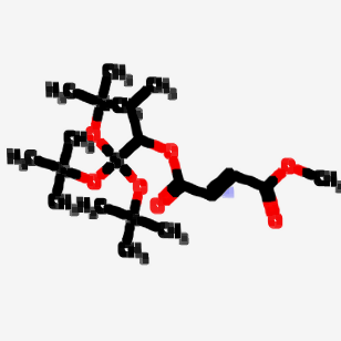 CCC(OC(=O)/C=C/C(=O)OC)[Si](O[Si](C)(C)C)(O[Si](C)(C)C)O[Si](C)(C)C